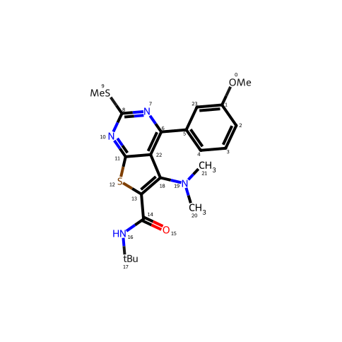 COc1cccc(-c2nc(SC)nc3sc(C(=O)NC(C)(C)C)c(N(C)C)c23)c1